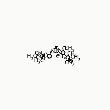 CC[C@@H]1c2cccc(CN3CCN(Cc4c(OC)cc(-c5cn(C)c(=O)c(C)c5C)cc4OC)C4(CC4)C3)c2CCN1C(=O)OC(C)(C)C